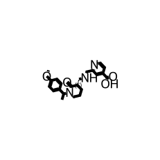 COc1ccc(C(C)N2CCC[C@@H](CNCc3cc(C(=O)O)ccn3)C2=O)cc1